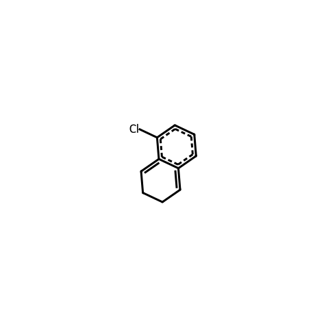 Clc1cccc2c1=CCCC=2